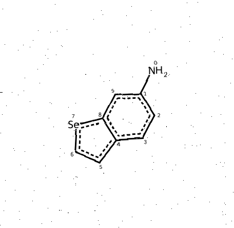 Nc1ccc2cc[se]c2c1